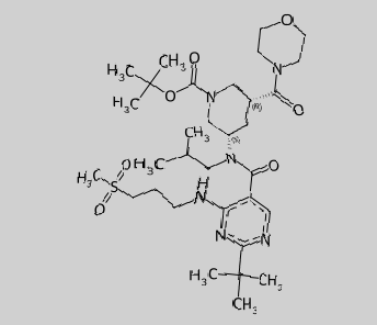 CC(C)CN(C(=O)c1cnc(C(C)(C)C)nc1NCCCS(C)(=O)=O)[C@H]1C[C@@H](C(=O)N2CCOCC2)CN(C(=O)OC(C)(C)C)C1